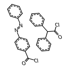 O=C(Cl)C(c1ccccc1)c1ccccc1.O=C(Cl)c1ccc(N=Nc2ccccc2)cc1